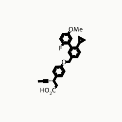 CC#C[C@@H](CC(=O)O)c1ccc(OCc2ccc(C3CC3)c(-c3cc(OC)ccc3F)c2)cc1